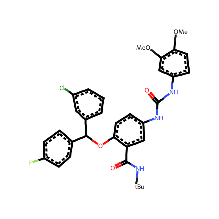 COc1ccc(NC(=O)Nc2ccc(OC(c3ccc(F)cc3)c3cccc(Cl)c3)c(C(=O)NC(C)(C)C)c2)cc1OC